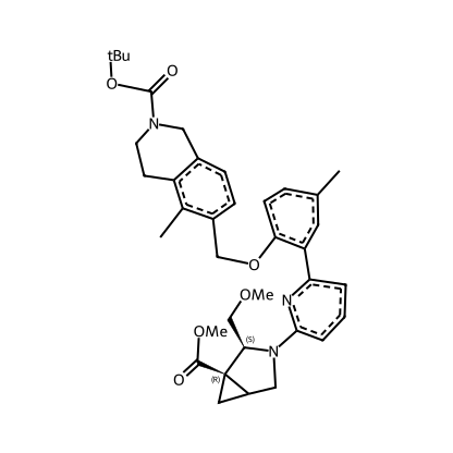 COC[C@H]1N(c2cccc(-c3cc(C)ccc3OCc3ccc4c(c3C)CCN(C(=O)OC(C)(C)C)C4)n2)CC2C[C@@]21C(=O)OC